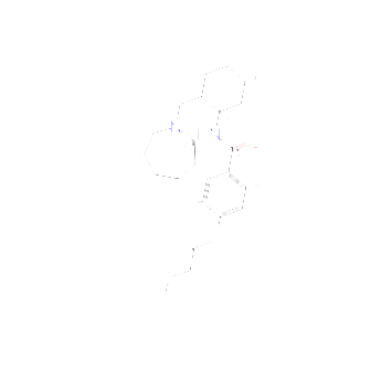 CCOCCOc1ccc(C(=O)NC2CCCCC2CN2CCCCCC2)cc1